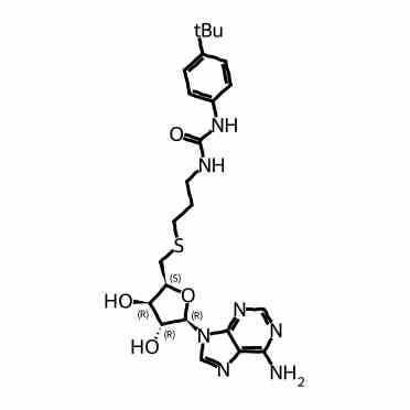 CC(C)(C)c1ccc(NC(=O)NCCCSC[C@H]2O[C@@H](n3cnc4c(N)ncnc43)[C@H](O)[C@H]2O)cc1